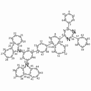 c1ccc(-c2cc(-c3ccc(-c4ccc(-c5cc(-n6c7ccccc7c7ccccc76)cc(-n6c7ccccc7c7ccccc76)c5)cc4)c4ccccc34)nc(-c3ccccc3)n2)cc1